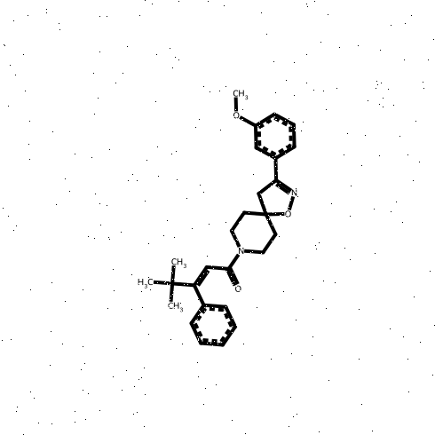 COc1cccc(C2=NOC3(CCN(C(=O)C=C(c4ccccc4)C(C)(C)C)CC3)C2)c1